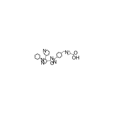 O=C(O)C1CN(Cc2ccc(-c3noc(-c4cnn(-c5ccccc5)c4-c4cccnc4)n3)cc2)C1